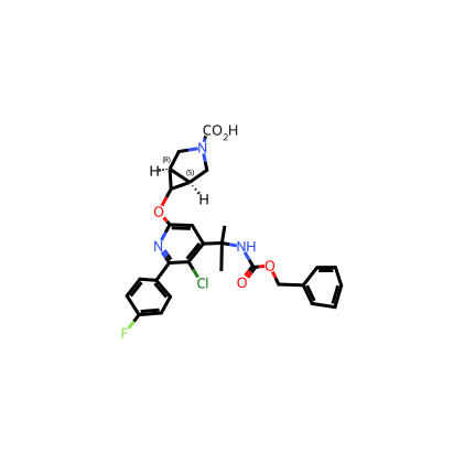 CC(C)(NC(=O)OCc1ccccc1)c1cc(OC2[C@H]3CN(C(=O)O)C[C@@H]23)nc(-c2ccc(F)cc2)c1Cl